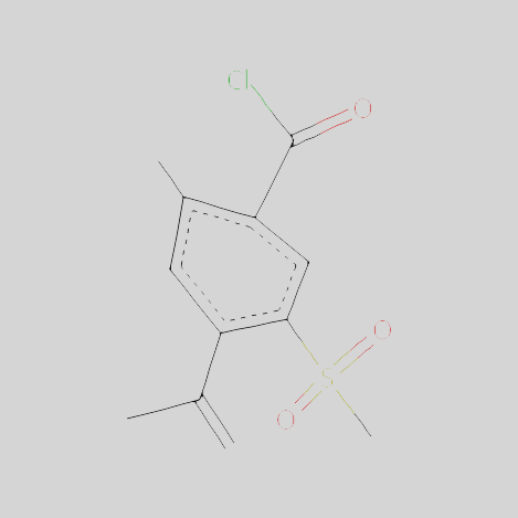 C=C(C)c1cc(C)c(C(=O)Cl)cc1S(C)(=O)=O